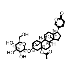 CC(=O)O[C@]12CC[C@@H]3[C@H](CC[C@]4(C)[C@@H](c5ccc(=O)oc5)CC[C@]34O)[C@@]1(C=O)CC[C@H](O[C@@H]1O[C@H](CO)[C@@H](O)[C@H](O)[C@H]1O)C2